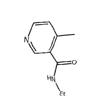 CCNC(=O)c1cnccc1C